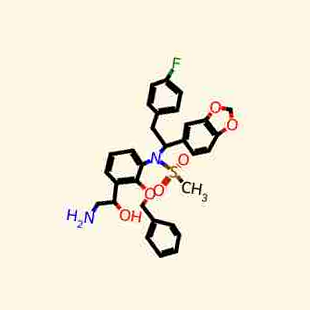 CS(=O)(=O)N(c1cccc(C(O)CN)c1OCc1ccccc1)C(Cc1ccc(F)cc1)c1ccc2c(c1)OCO2